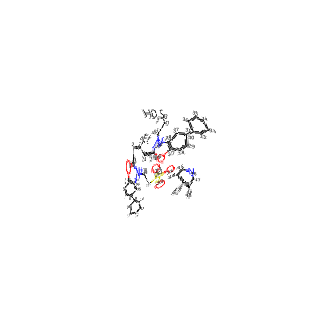 CCC(=Cc1oc2ccc(-c3ccccc3)cc2[n+]1CCS(=O)(=O)[O-])C=C1Oc2ccc(-c3ccccc3)cc2N1CCS(=O)(=O)O.c1ccncc1